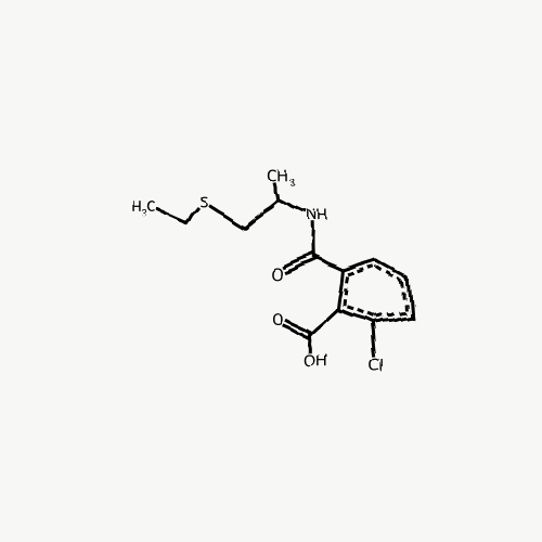 CCSCC(C)NC(=O)c1cccc(Cl)c1C(=O)O